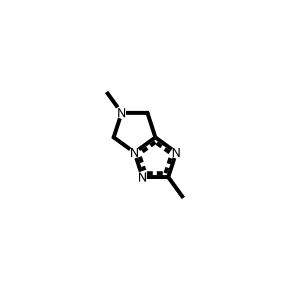 Cc1nc2n(n1)CN(C)C2